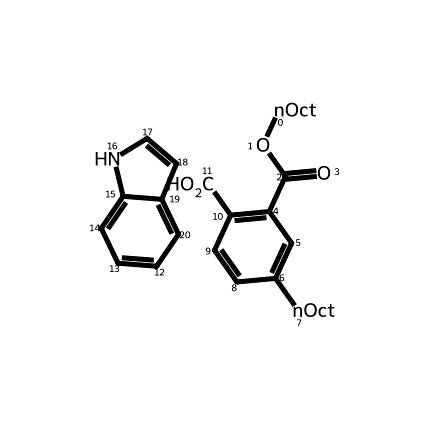 CCCCCCCCOC(=O)c1cc(CCCCCCCC)ccc1C(=O)O.c1ccc2[nH]ccc2c1